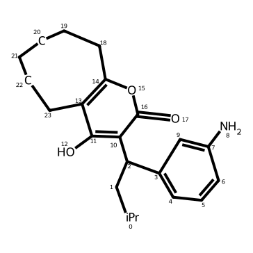 CC(C)CC(c1cccc(N)c1)c1c(O)c2c(oc1=O)CCCCCC2